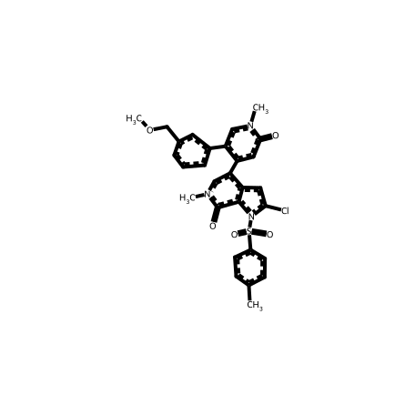 COCc1cccc(-c2cn(C)c(=O)cc2-c2cn(C)c(=O)c3c2cc(Cl)n3S(=O)(=O)c2ccc(C)cc2)c1